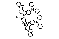 N#Cc1cc(C#N)c(-n2c3ccc(N(c4ccccc4)c4ccccc4)cc3c3c4oc5ccccc5c4ccc32)cc1-n1c2ccc(N(c3ccccc3)c3ccccc3)cc2c2c3oc4ccccc4c3ccc21